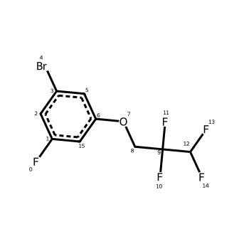 Fc1cc(Br)cc(OCC(F)(F)C(F)F)c1